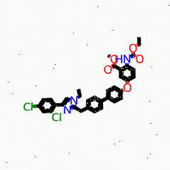 CCOC(=O)Nc1ccc(Oc2ccc(-c3ccc(Cc4nc(-c5ccc(Cl)cc5Cl)cn4CC)cc3)cc2)cc1C(=O)OC